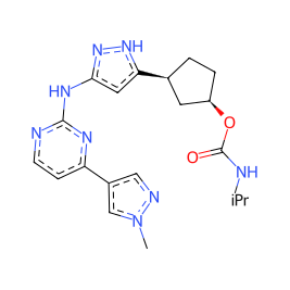 CC(C)NC(=O)O[C@@H]1CC[C@H](c2cc(Nc3nccc(-c4cnn(C)c4)n3)n[nH]2)C1